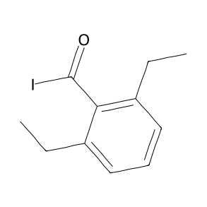 CCc1cccc(CC)c1C(=O)I